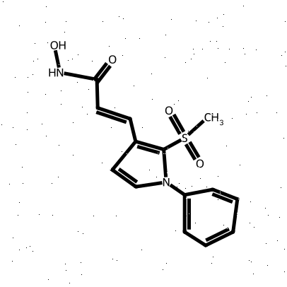 CS(=O)(=O)c1c(C=CC(=O)NO)ccn1-c1ccccc1